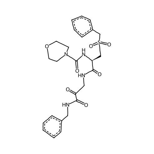 O=C(CNC(=O)[C@H](CS(=O)(=O)Cc1ccccc1)NC(=O)N1CCOCC1)C(=O)NCc1ccccc1